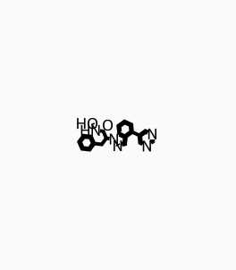 O=C(NO)C(Cc1ccccc1)n1ncc2c(-c3cncnc3)cccc21